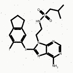 CC(C)CS(=O)(=O)NCCn1c(Sc2cc3c(cc2I)CCC3)nc2c(N)ncnc21